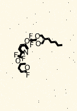 CCCCCC1COC(C(F)(F)Oc2ccc(C(F)(F)OC3CCC(F)OC3)nc2)OC1